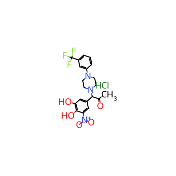 CC(=O)C(c1cc(O)c(O)c([N+](=O)[O-])c1)N1CCN(c2cccc(C(F)(F)F)c2)CC1.Cl